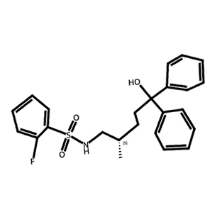 C[C@@H](CCC(O)(c1ccccc1)c1ccccc1)CNS(=O)(=O)c1ccccc1F